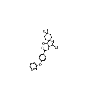 CCC1=NC2(CCC(F)(F)CC2)C(=O)N1CC(=O)c1ccc(Oc2cccnn2)cc1